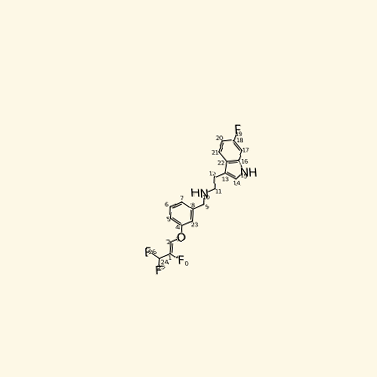 FC(=COc1cccc(CNCCc2c[nH]c3cc(F)ccc23)c1)C(F)F